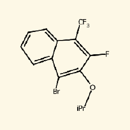 CC(C)Oc1c(F)c(C(F)(F)F)c2ccccc2c1Br